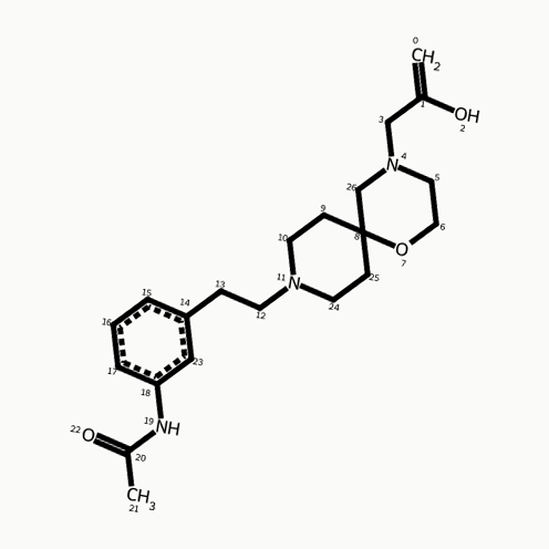 C=C(O)CN1CCOC2(CCN(CCc3cccc(NC(C)=O)c3)CC2)C1